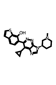 CN1CCC[C@@H](n2cnc3c(C4CC4)c(-c4ccc5ccsc5c4O)nnc32)C1